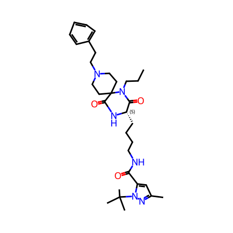 CCCN1C(=O)[C@H](CCCCNC(=O)c2cc(C)nn2C(C)(C)C)NC(=O)C12CCN(CCc1ccccc1)CC2